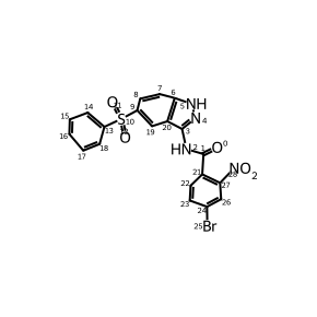 O=C(Nc1n[nH]c2ccc(S(=O)(=O)c3ccccc3)cc12)c1ccc(Br)cc1[N+](=O)[O-]